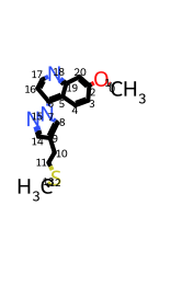 COc1ccc2c(-n3cc(CCSC)cn3)ccnc2c1